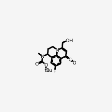 CN(C(=O)OC(C)(C)C)C1CCN2C(CO)=CC(=C=O)c3cc(F)cc1c32